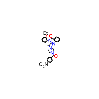 CCOc1ccccc1-n1c(C(C)N2CCN(C(=O)c3ccc([N+](=O)[O-])cc3)CC2)nc2ccccc2c1=O